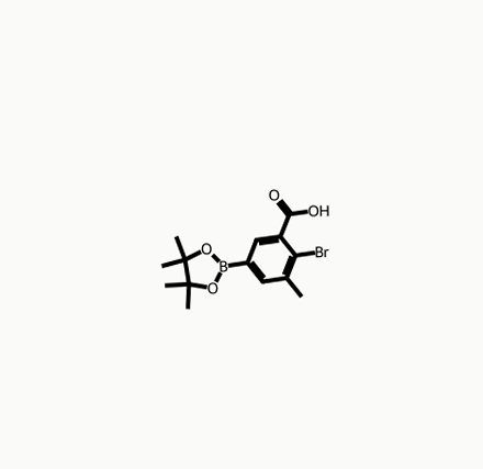 Cc1cc(B2OC(C)(C)C(C)(C)O2)cc(C(=O)O)c1Br